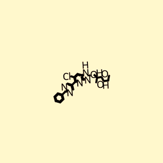 Clc1cc2[nH]c(OC3CO[C@@H]4CCO[C@H]34)nc2nc1-c1cnc(-c2ccccc2)nc1